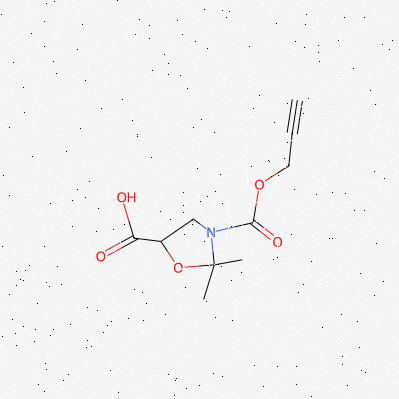 C#CCOC(=O)N1CC(C(=O)O)OC1(C)C